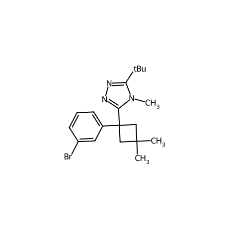 Cn1c(C(C)(C)C)nnc1C1(c2cccc(Br)c2)CC(C)(C)C1